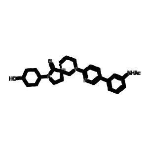 CC(=O)Nc1cccc(-c2ccc(N3CCC[C@@]4(CCN(C5CCC(O)CC5)C4=O)C3)nc2)c1